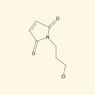 O=C1C=CC(=O)N1CCCCl